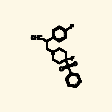 O=CC(CN1CCC(F)(S(=O)(=O)c2ccccc2)CC1)c1ccc(F)cc1